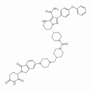 NC(=O)c1c(-c2ccc(Oc3ccccc3)cc2)nn2c1NCC[C@H]2C1CCN(C(=O)N2CCC(CN3CCN(c4ccc5c(c4)CN(C4CCC(=O)NC4=O)C5=O)CC3)CC2)CC1